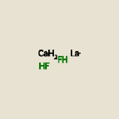 F.F.[CaH2].[La]